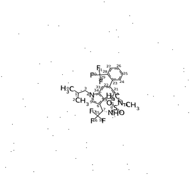 CC(C)Cn1cc([C@H](NS(=O)(=O)N(C)C)C(F)(F)F)c2ccc(-c3ccccc3C(F)(F)F)cc21